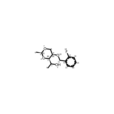 CC(O)[C@H]1O[C@@H](C)OC[C@H]1OCc1ccccc1F